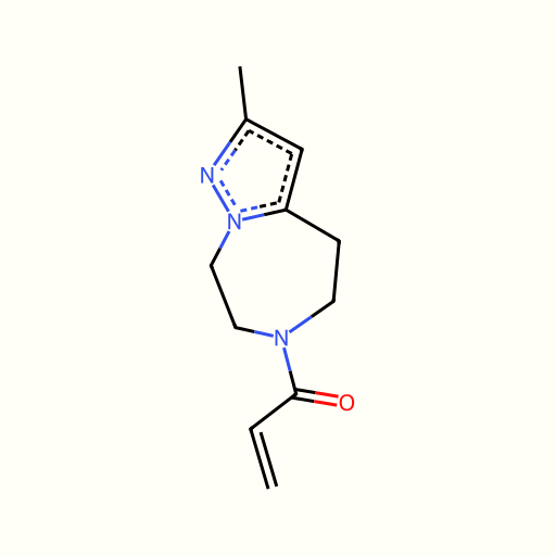 C=CC(=O)N1CCc2cc(C)nn2CC1